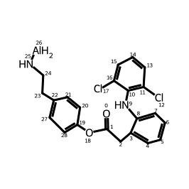 O=C(Cc1ccccc1Nc1c(Cl)cccc1Cl)Oc1ccc(CC[NH][AlH2])cc1